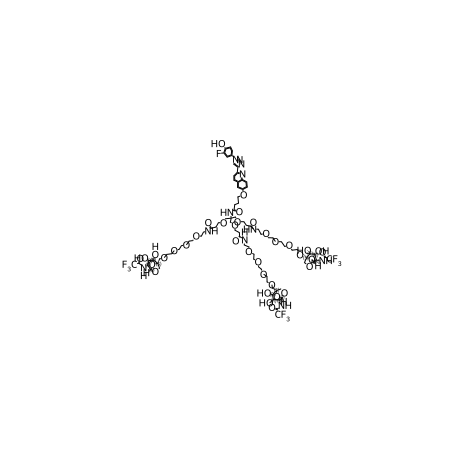 O=C(CCOCC(COCCC(=O)NCCOCCOCCOCCOC[C@@]12CO[C@@H](O1)[C@H](NC(=O)C(F)(F)F)[C@@H](O)[C@H]2O)(COCCC(=O)NCCOCCOCCOCCOC[C@@]12CO[C@@H](O1)[C@H](NC(=O)C(F)(F)F)[C@@H](O)[C@H]2O)NC(=O)CCCOc1ccc2nc(-c3cn(-c4ccc(O)c(F)c4)nn3)ccc2c1)NCCOCCOCCOCCOC[C@@]12CO[C@@H](O1)[C@H](NC(=O)C(F)(F)F)[C@@H](O)[C@H]2O